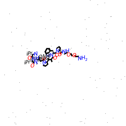 CCC(C)C(C(CC(=O)N1CCCC1C(OC)C(C)C(=O)N[C@@H](Cc1ccccc1)C(=O)N1CCC[C@@H]1C(=O)NCCOCCOCCN)OC)N(C)C(=O)[C@@H](NC(=O)C(C(C)C)N(C)C)C(C)C